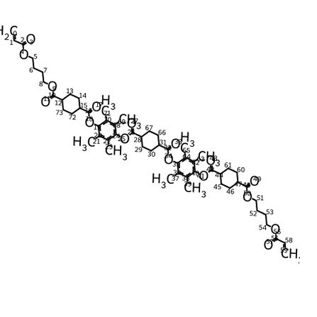 C=CC(=O)OCCCCOC(=O)C1CCC(C(=O)Oc2c(C)c(C)c(OC(=O)C3CCC(C(=O)Oc4c(C)c(C)c(OC(=O)C5CCC(C(=O)OCCCCOC(=O)C=C)CC5)c(C)c4C)CC3)c(C)c2C)CC1